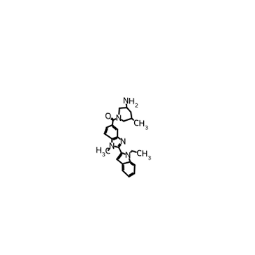 CCn1c(-c2nc3cc(C(=O)N4CC(C)CC(N)C4)ccc3n2C)cc2ccccc21